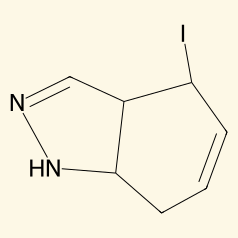 IC1C=CCC2NN=CC12